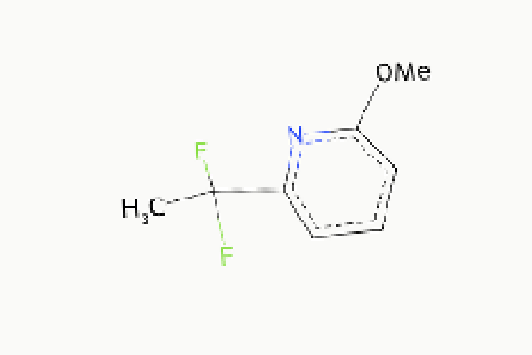 COc1cccc(C(C)(F)F)n1